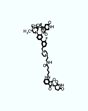 C[C@@H]1CN(c2ccc(-c3cc(CN4CCN(CCNC(=O)CCCCNc5cccc6c5C(=O)N(C5CCC(=O)NC5=O)C6=O)CC4)ccc3F)cc2NC(=O)c2c[nH]c(=O)cc2C(F)(F)F)C[C@H](C)N1C